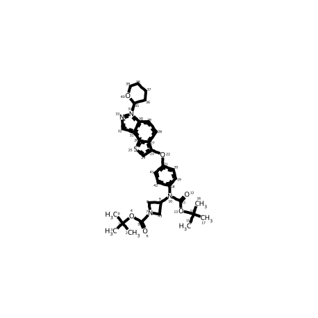 CC(C)(C)OC(=O)N1CC(N(C(=O)OC(C)(C)C)c2ccc(Oc3csc4c3ccc3c4cnn3C3CCCCO3)cc2)C1